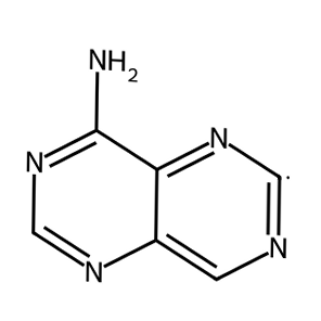 Nc1ncnc2cn[c]nc12